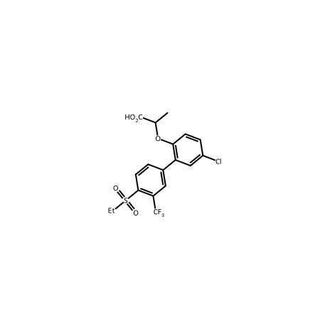 CCS(=O)(=O)c1ccc(-c2cc(Cl)ccc2OC(C)C(=O)O)cc1C(F)(F)F